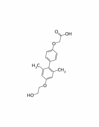 Cc1cc(OCCO)cc(C)c1-c1ccc(OCC(=O)O)cc1